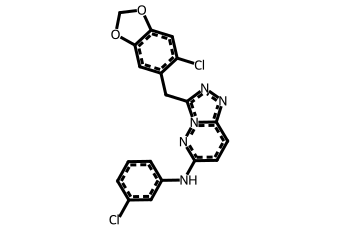 Clc1cccc(Nc2ccc3nnc(Cc4cc5c(cc4Cl)OCO5)n3n2)c1